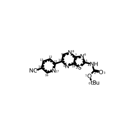 CC(C)(C)OC(=O)Nc1nc2ncc(-c3ccc(C#N)cn3)nc2s1